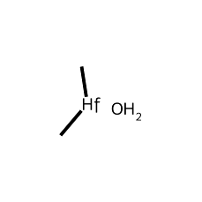 O.[CH3][Hf][CH3]